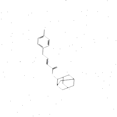 Cc1ccc(C/C=C/C(=O)OC2C3CC4CC(C3)CC2C4)cc1